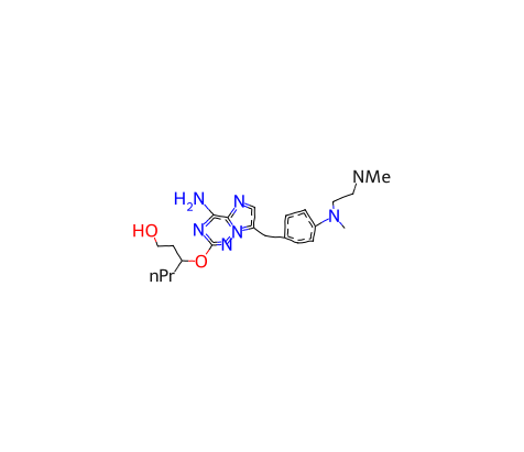 CCCC(CCO)Oc1nc(N)c2ncc(Cc3ccc(N(C)CCNC)cc3)n2n1